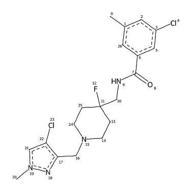 Cc1cc(Cl)cc(C(=O)NCC2(F)CCN(Cc3nn(C)cc3Cl)CC2)c1